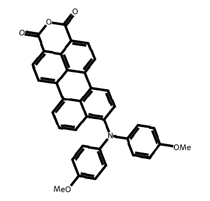 COc1ccc(N(c2ccc(OC)cc2)c2ccc3c4ccc5c6c(ccc(c7cccc2c73)c64)C(=O)OC5=O)cc1